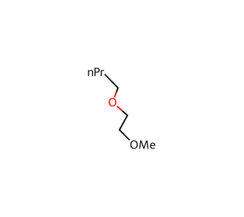 CCCCOCCOC